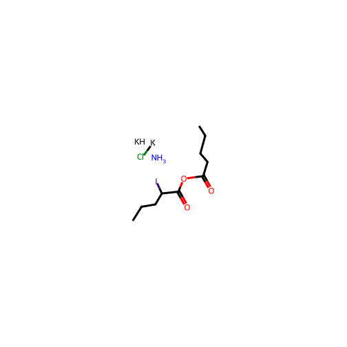 CCCCC(=O)OC(=O)C(I)CCC.N.[Cl][K].[KH]